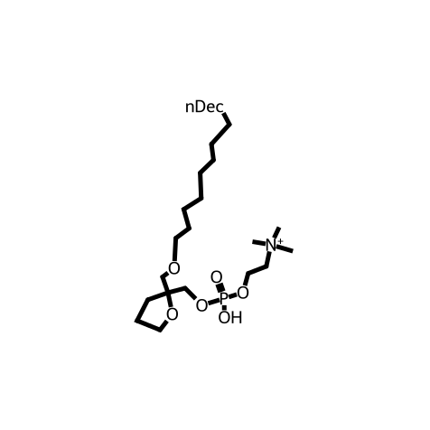 CCCCCCCCCCCCCCCCCCOCC1(COP(=O)(O)OCC[N+](C)(C)C)CCCO1